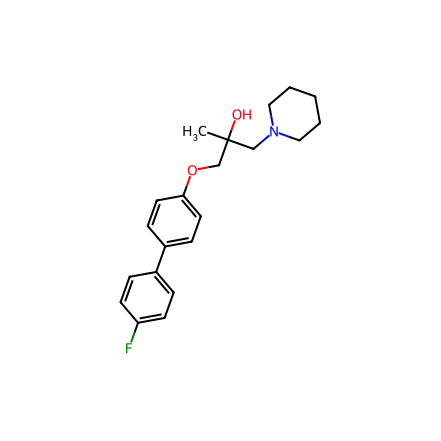 CC(O)(COc1ccc(-c2ccc(F)cc2)cc1)CN1CCCCC1